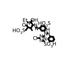 CCn1c(O)c(N=Nc2cc(N(Nc3ccccc3)c3nc(Cl)nc(S(=O)(=O)O)n3)ccc2S(=O)(=O)O)c(C)c(CS(=O)(=O)O)c1=O